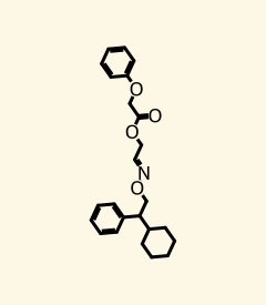 O=C(COc1ccccc1)OCC=NOCC(c1ccccc1)C1CCCCC1